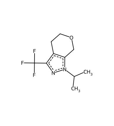 CC(C)n1nc(C(F)(F)F)c2c1COCC2